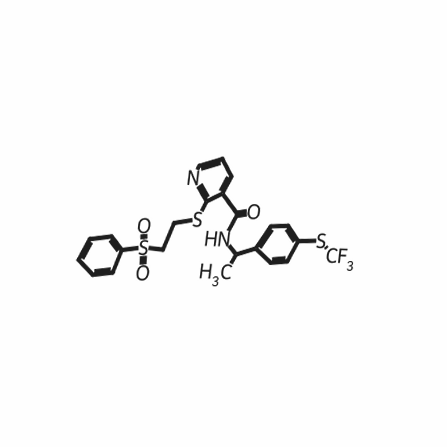 CC(NC(=O)c1cccnc1SCCS(=O)(=O)c1ccccc1)c1ccc(SC(F)(F)F)cc1